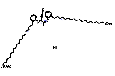 CCC#CC(=N\c1ccccc1CC/C=C/CCCCCCCCCCCCCCCCCCCCCCCC)/C(C)=N\c1ccccc1CC/C=C/CCCCCCCCCCCCCCCCCCCCCCCC.[Ni]